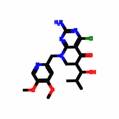 COc1cnc(CN2CC(C(O)C(C)C)C(=O)c3c(Cl)nc(N)nc32)cc1OC